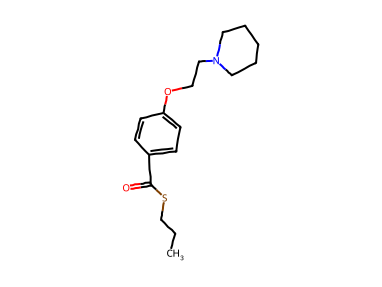 CCCSC(=O)c1ccc(OCCN2CCCCC2)cc1